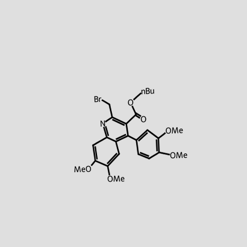 CCCCOC(=O)c1c(CBr)nc2cc(OC)c(OC)cc2c1-c1ccc(OC)c(OC)c1